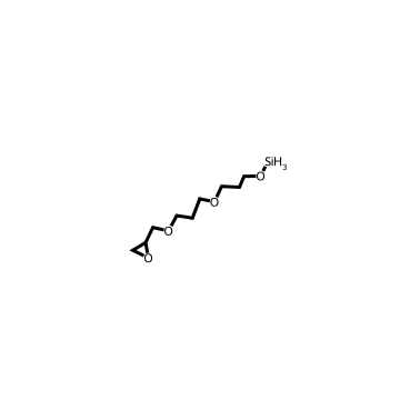 [SiH3]OCCCOCCCOCC1CO1